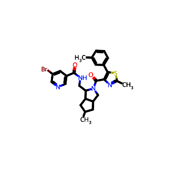 Cc1cccc(-c2sc(C)nc2C(=O)N2CC3CC(C)CC3C2CNC(=O)c2cncc(Br)c2)c1